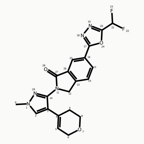 Cn1cc(C2=CCOCC2)c(N2Cc3ccc(-c4nnc(C(F)F)o4)cc3C2=O)n1